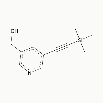 C[Si](C)(C)C#Cc1cncc(CO)c1